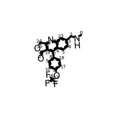 CNCc1ccc2c(-c3ccc(OC(F)(F)F)cc3)c3c(nc2c1)COC3=O